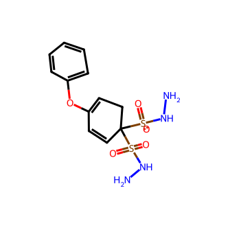 NNS(=O)(=O)C1(S(=O)(=O)NN)C=CC(Oc2ccccc2)=CC1